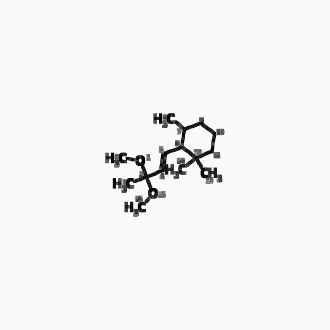 COC(C)(C=CC1C(C)CCCC1(C)C)OC